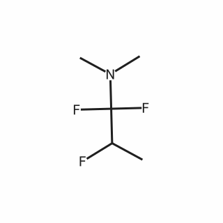 CC(F)C(F)(F)N(C)C